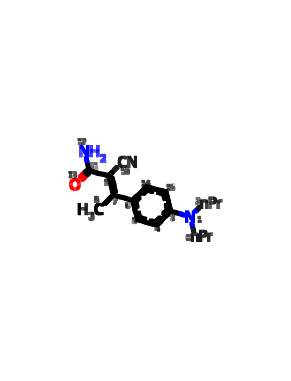 CCCN(CCC)c1ccc(/C(C)=C(\C#N)C(N)=O)cc1